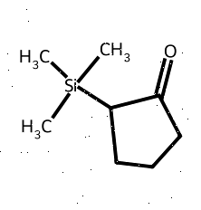 C[Si](C)(C)C1CCCC1=O